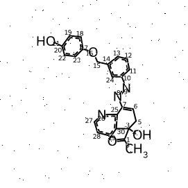 CC(=O)C1(O)CC=C(N=Nc2cccc(COc3ccc(O)cc3)c2)c2ncccc21